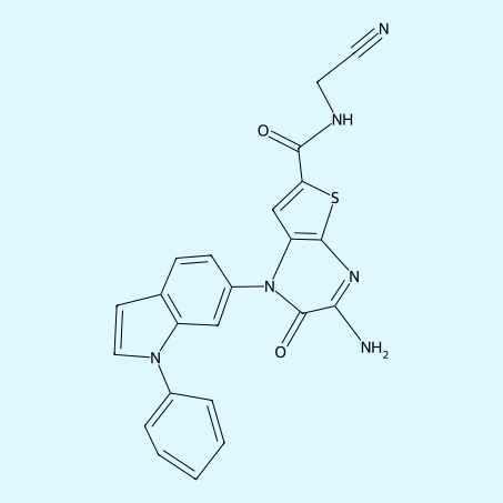 N#CCNC(=O)c1cc2c(nc(N)c(=O)n2-c2ccc3ccn(-c4ccccc4)c3c2)s1